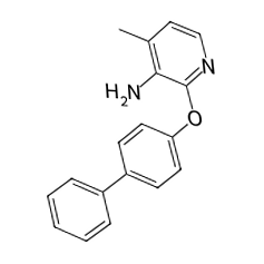 Cc1ccnc(Oc2ccc(-c3ccccc3)cc2)c1N